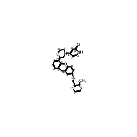 Cc1nccnc1CNc1ccc2c(c1)Cc1cccc(C3CN(c4cc[nH]c(=O)c4)CCO3)c1O2